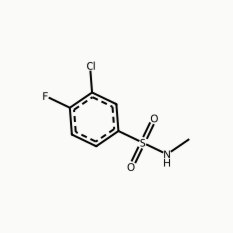 CNS(=O)(=O)c1ccc(F)c(Cl)c1